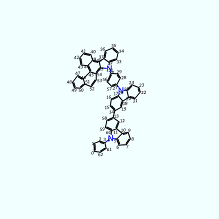 c1ccc(-n2c3ccccc3c3cc(-c4ccc5c(c4)c4ccccc4n5-c4ccc(-n5c6ccccc6c6c7ccccc7c7c8ccccc8ccc7c65)cc4)ccc32)cc1